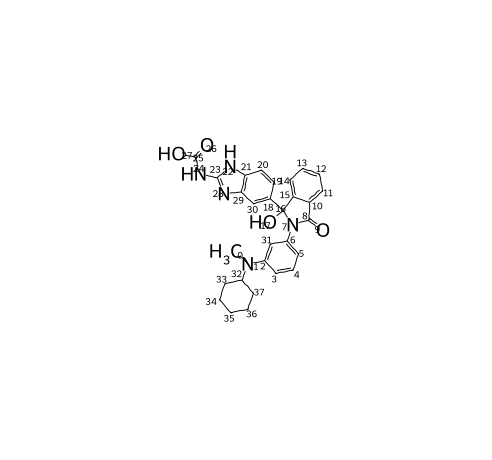 CN(c1cccc(N2C(=O)c3ccccc3C2(O)c2ccc3[nH]c(NC(=O)O)nc3c2)c1)C1CCCCC1